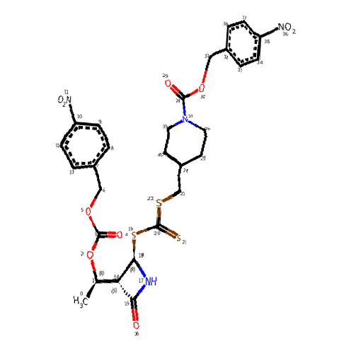 C[C@@H](OC(=O)OCc1ccc([N+](=O)[O-])cc1)[C@H]1C(=O)N[C@@H]1SC(=S)SCC1CCN(C(=O)OCc2ccc([N+](=O)[O-])cc2)CC1